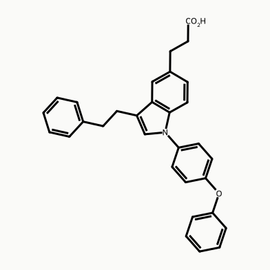 O=C(O)CCc1ccc2c(c1)c(CCc1ccccc1)cn2-c1ccc(Oc2ccccc2)cc1